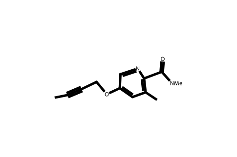 CC#CCOc1cnc(C(=O)NC)c(C)c1